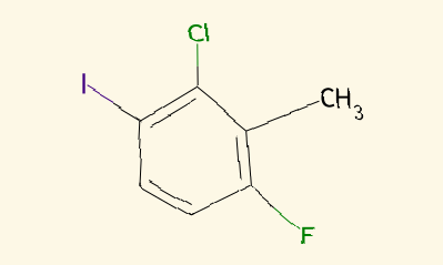 Cc1c(F)ccc(I)c1Cl